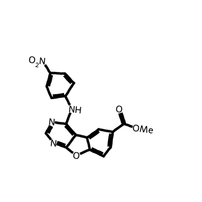 COC(=O)c1ccc2oc3ncnc(Nc4ccc([N+](=O)[O-])cc4)c3c2c1